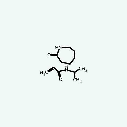 C=CC(=O)NC(C)C.O=C1CCCCCN1